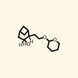 O[C@@H]1CC2CC(C2)[C@@H]1CCOC1CCCCO1